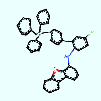 Fc1ccc(Nc2cccc3c2oc2ccccc23)c(-c2ccc([Si](c3ccccc3)(c3ccccc3)c3ccccc3)cc2)c1